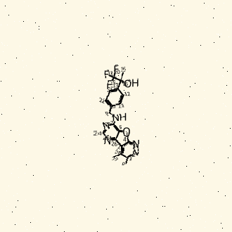 Cc1nnc2oc3c(NCc4ccc(C(C)(O)C(F)(F)F)cc4)ncnc3c2c1C